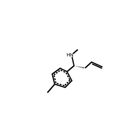 C=CC[C@@H](NC)c1ccc(C)cc1